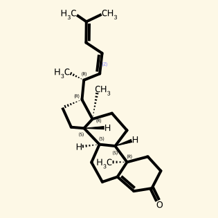 CC(C)=C/C=C\[C@@H](C)[C@H]1CC[C@H]2[C@@H]3CCC4=CC(=O)CC[C@]4(C)[C@H]3CC[C@]12C